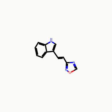 C(=Cc1c[nH]c2ccccc12)c1ncon1